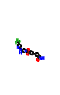 O=C1NCc2ccc(-c3ccc(S(=O)(=O)N4CCC(Nc5ccc(C(F)(F)F)cn5)CC4)cc3)cc21